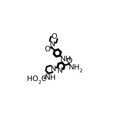 NC(=O)c1cnc(N2CCC[C@@H](NC(=O)O)C2)cc1Nc1ccc(C(=O)N2CCOCC2)cc1